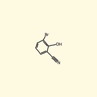 N#Cc1cccc(Br)c1O